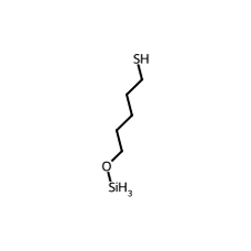 [SiH3]OCCCCCS